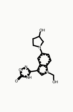 O=c1[nH]c(-c2cn(CO)c3ccc(N4CCC(O)C4)cc23)no1